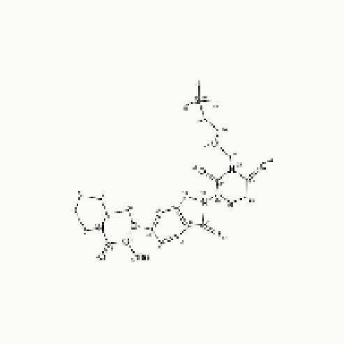 CC(C)(C)OC(=O)N1CCCCC1COc1ccc2c(c1)CN(C1CCC(=O)N(COCC[Si](C)(C)C)C1=O)C2=O